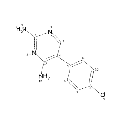 Nc1ncc(-c2ccc(Cl)cc2)c(N)n1